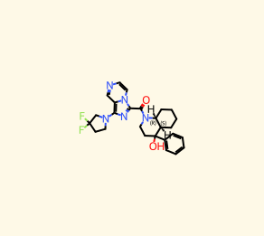 O=C(c1nc(N2CCC(F)(F)C2)c2cnccn12)N1CCC(O)(c2ccccc2)[C@H]2CCCC[C@H]21